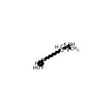 C=C(F)/C(O)=C(F)\C=C(/C)OCCCCCCCCCCOc1cc(F)c(O)c(F)c1